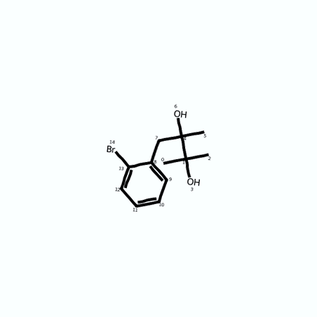 CC(C)(O)C(C)(O)Cc1ccccc1Br